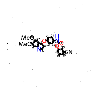 COc1cc2nccc(Oc3ccc(NC(=O)Oc4cccc(C#N)c4)cc3)c2cc1OC